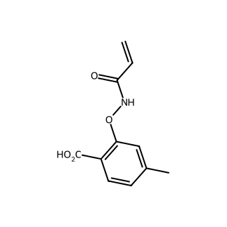 C=CC(=O)NOc1cc(C)ccc1C(=O)O